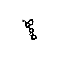 Brc1ccc(-c2ccc3c(c2)sc2ccccc23)c2ccccc12